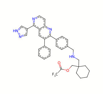 O=C(OCC1(CNCc2ccc(-c3nc4ccnc(-c5cn[nH]c5)c4cc3-c3ccccc3)cc2)CCCCC1)C(F)(F)F